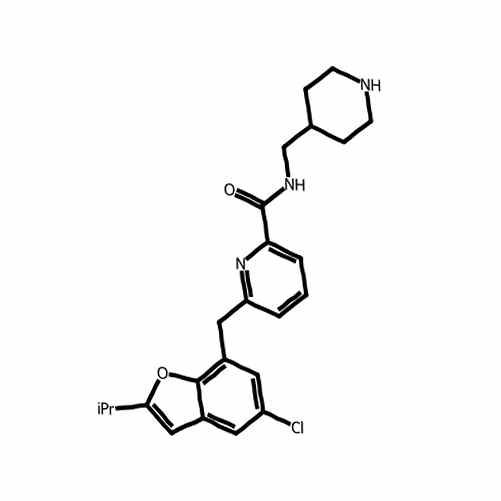 CC(C)c1cc2cc(Cl)cc(Cc3cccc(C(=O)NCC4CCNCC4)n3)c2o1